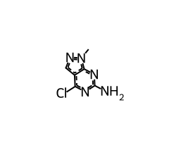 Cn1ncc2c(Cl)nc(N)nc21